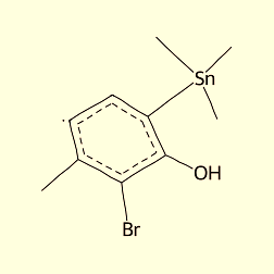 Cc1[c]c[c]([Sn]([CH3])([CH3])[CH3])c(O)c1Br